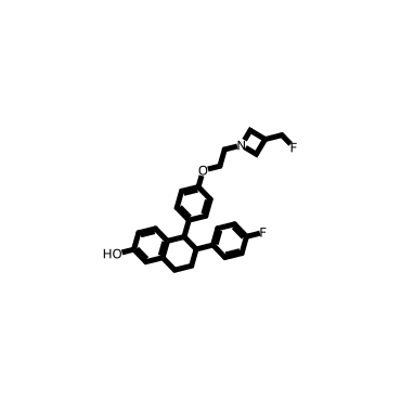 Oc1ccc2c(c1)CCC(c1ccc(F)cc1)C2c1ccc(OCCN2CC(CF)C2)cc1